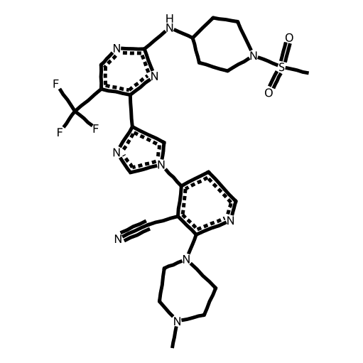 CN1CCN(c2nccc(-n3cnc(-c4nc(NC5CCN(S(C)(=O)=O)CC5)ncc4C(F)(F)F)c3)c2C#N)CC1